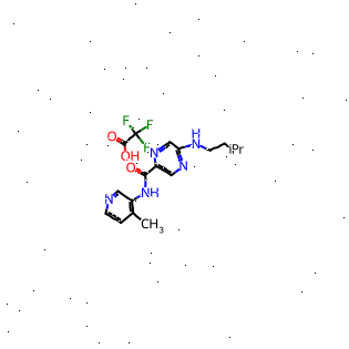 Cc1ccncc1NC(=O)c1cnc(NCCC(C)C)cn1.O=C(O)C(F)(F)F